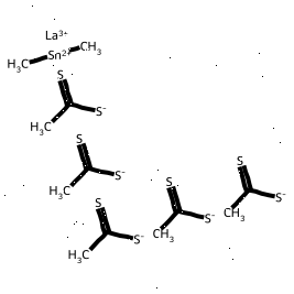 CC(=S)[S-].CC(=S)[S-].CC(=S)[S-].CC(=S)[S-].CC(=S)[S-].[CH3][Sn+2][CH3].[La+3]